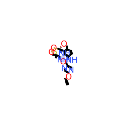 C#CCOc1cnc(C(=O)Nc2ccc3c(c2)[C@]2(COC3)CS(=O)(=O)C(C)(C)C(=N)N2)cn1